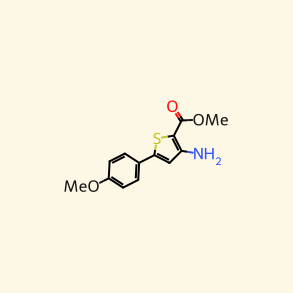 COC(=O)c1sc(-c2ccc(OC)cc2)cc1N